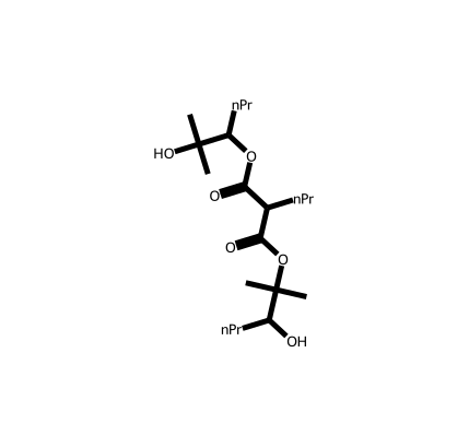 CCCC(C(=O)OC(CCC)C(C)(C)O)C(=O)OC(C)(C)C(O)CCC